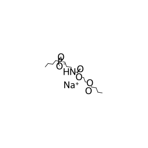 CCCCP(=O)([O-])CCCNC(=O)OCCOC(=O)CCC.[Na+]